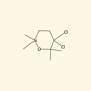 CC1(C)O[Si](C)(C)CCC1(Cl)Cl